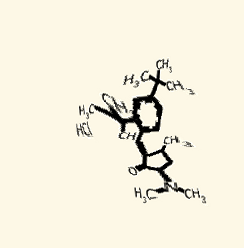 CC1CC(N(C)C)C(=O)C1=Cc1ccc(C(C)(C)C)cc1C(C)(C)C.Cl